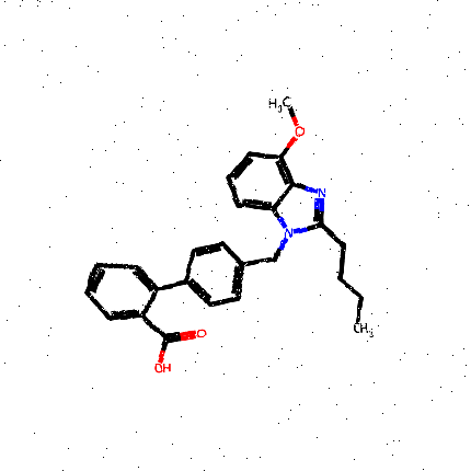 CCCCc1nc2c(OC)cccc2n1Cc1ccc(-c2ccccc2C(=O)O)cc1